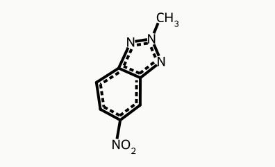 Cn1nc2ccc([N+](=O)[O-])cc2n1